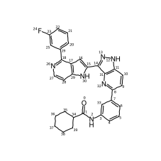 O=C(Nc1cccc(-c2ccc3[nH]nc(-c4cc5c(-c6cccc(F)c6)nccc5[nH]4)c3n2)c1)C1CCCCC1